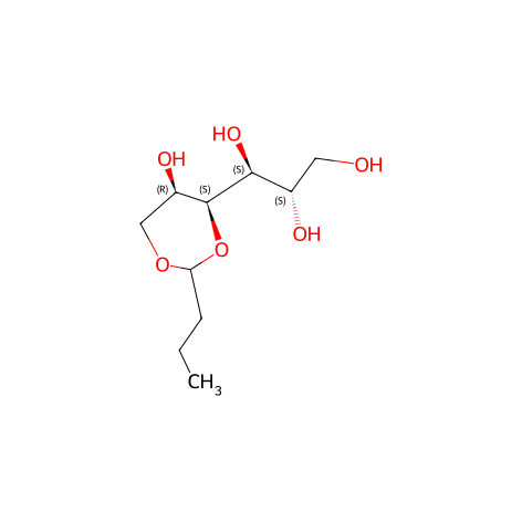 CCCC1OC[C@@H](O)[C@@H]([C@@H](O)[C@@H](O)CO)O1